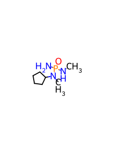 CNP(N)(=O)N(C)C1CCCC1